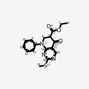 CCOC(=O)C1CN(c2ccccc2)c2nc(SC)ncc2C1=O